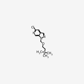 C[Si](C)(C)CCOCn1ncc2cc(Cl)ncc21